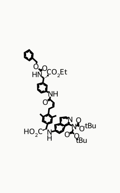 CCOC(=O)C[C@@H](NC(=O)OCc1ccccc1)c1cccc(NC(=O)/C=C\Cc2c(C)cc([C@@H](Nc3ccc4c(N(C(=O)OC(C)(C)C)C(=O)OC(C)(C)C)nccc4c3)C(=O)O)cc2C)c1